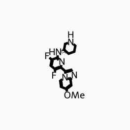 COc1ccn2c(-c3nc(N[C@H]4CCCNC4)c(F)cc3F)cnc2c1